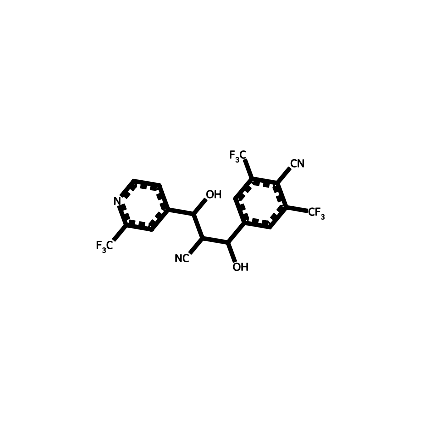 N#Cc1c(C(F)(F)F)cc(C(O)C(C#N)C(O)c2ccnc(C(F)(F)F)c2)cc1C(F)(F)F